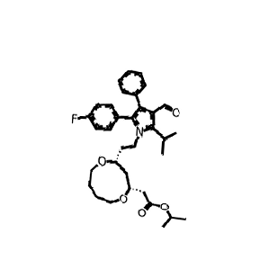 CC(C)OC(=O)C[C@H]1C[C@@H](CCn2c(-c3ccc(F)cc3)c(-c3ccccc3)c(C=O)c2C(C)C)OCCCCO1